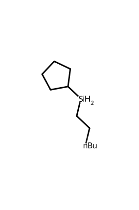 CCCCCC[SiH2]C1CCCC1